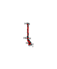 CCC(NC(=O)[C@H]1CC[C@H](CNC(O)CCCCCCCCCCCCCCCCCCC(=O)O)CC1)C(=O)O